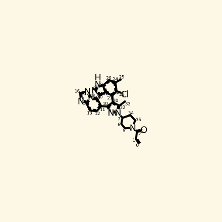 C=CC(=O)N1CCC(n2nc(-c3ccc4ncnn4c3)c(-c3c(Cl)c(C)cc4[nH]ncc34)c2C)CC1